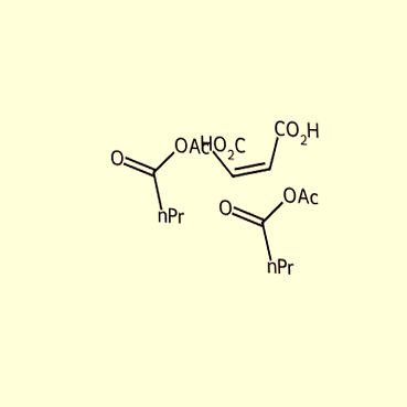 CCCC(=O)OC(C)=O.CCCC(=O)OC(C)=O.O=C(O)/C=C\C(=O)O